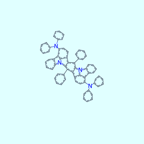 c1ccc(-c2c3c4ccc(N(c5ccccc5)c5ccccc5)c5c6ccccc6n(c3c(-c3ccccc3)c3c6ccc(N(c7ccccc7)c7ccccc7)c7c8ccccc8n(c23)c67)c45)cc1